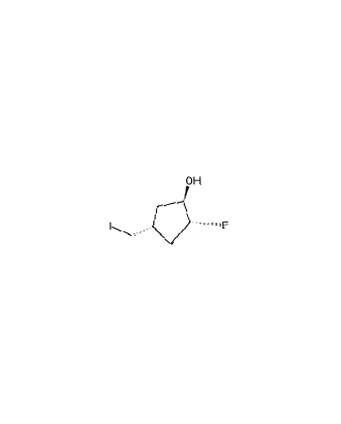 O[C@@H]1C[C@@H](CI)C[C@H]1F